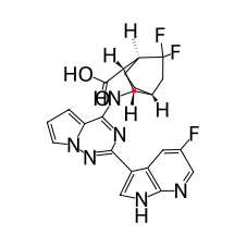 O=C(O)[C@H]1[C@@H](Nc2nc(-c3c[nH]c4ncc(F)cc34)nn3cccc23)[C@H]2CC[C@@H]1C(F)(F)C2